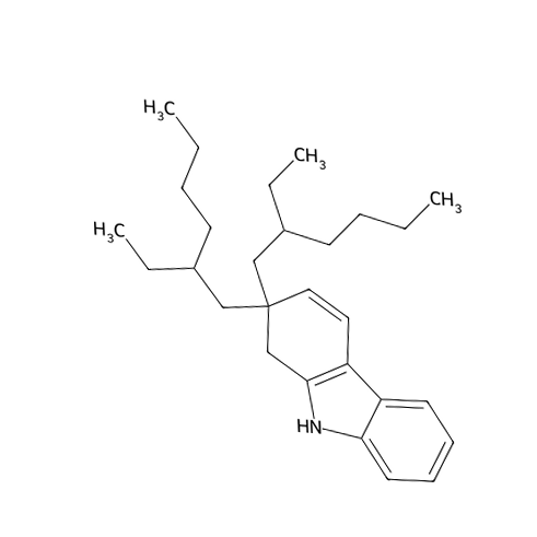 CCCCC(CC)CC1(CC(CC)CCCC)C=Cc2c([nH]c3ccccc23)C1